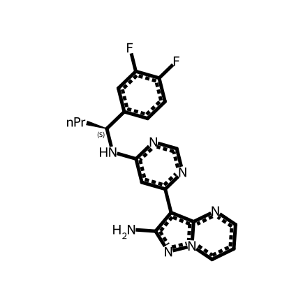 CCC[C@H](Nc1cc(-c2c(N)nn3cccnc23)ncn1)c1ccc(F)c(F)c1